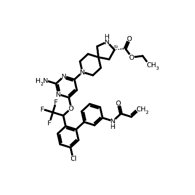 C=CC(=O)Nc1cccc(-c2cc(Cl)ccc2C(Oc2cc(N3CCC4(CC3)CN[C@H](C(=O)OCC)C4)nc(N)n2)C(F)(F)F)c1